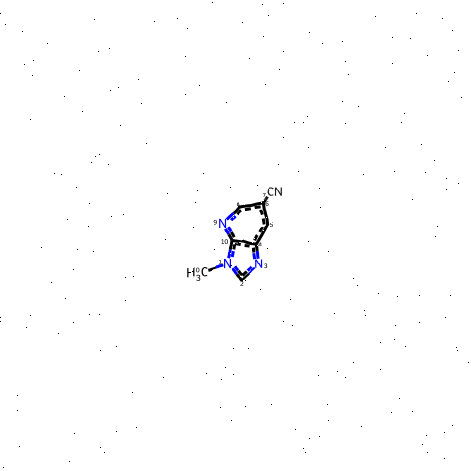 Cn1cnc2cc(C#N)cnc21